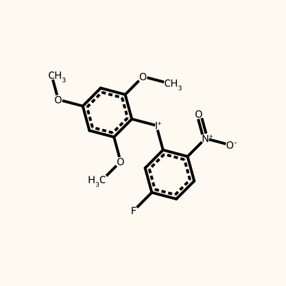 COc1cc(OC)c([I+]c2cc(F)ccc2[N+](=O)[O-])c(OC)c1